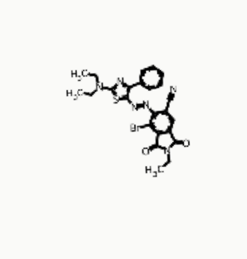 CCN1C(=O)c2cc(C#N)c(/N=N/c3sc(N(CC)CC)nc3-c3ccccc3)c(Br)c2C1=O